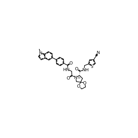 Cn1ccc2cc(-c3ccc(C(=O)NCC(=O)N4CC5(C[C@H]4C(=O)NCc4cc(C#N)cs4)OCCO5)cc3)ccc21